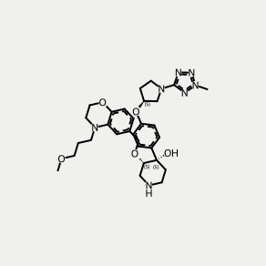 COCCCN1CCOc2ccc(CO[C@H]3CNCC[C@]3(O)c3ccc(O[C@H]4CCN(c5nnn(C)n5)C4)cc3)cc21